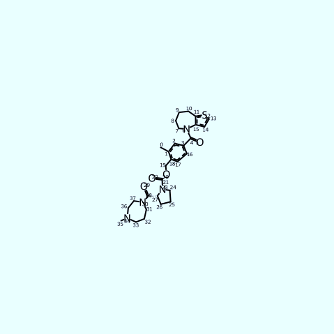 Cc1cc(C(=O)N2CCCCc3sccc32)ccc1COC(=O)N1CCC[C@@H]1C(=O)N1CCCN(C)CC1